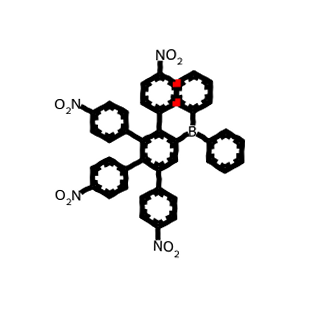 O=[N+]([O-])c1ccc(-c2cc(B(c3ccccc3)c3ccccc3)c(-c3ccc([N+](=O)[O-])cc3)c(-c3ccc([N+](=O)[O-])cc3)c2-c2ccc([N+](=O)[O-])cc2)cc1